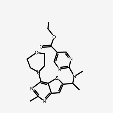 CCOC(=O)c1cnc(N(C)C(C)c2cc3nc(C)nc(N4CCOCC4)c3s2)nc1